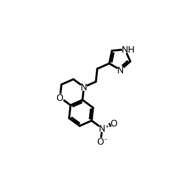 O=[N+]([O-])c1ccc2c(c1)N(CCc1c[nH]cn1)CCO2